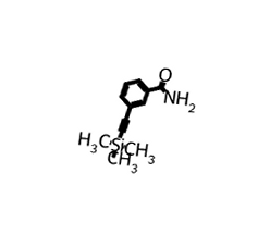 C[Si](C)(C)C#Cc1cccc(C(N)=O)c1